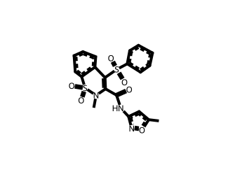 Cc1cc(NC(=O)C2=C(S(=O)(=O)c3ccccc3)c3ccccc3S(=O)(=O)N2C)no1